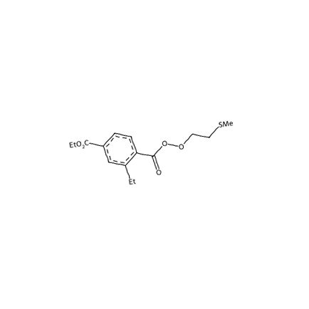 CCOC(=O)c1ccc(C(=O)OOCCSC)c(CC)c1